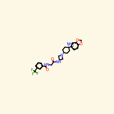 N[C@]1(c2ccc3c(c2)OCO3)CC[C@@H](N2CC(NC(=O)CNC(=O)c3cccc(C(F)(F)F)c3)C2)CC1